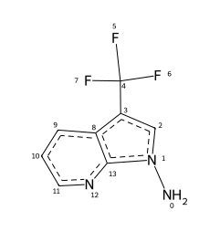 Nn1cc(C(F)(F)F)c2cccnc21